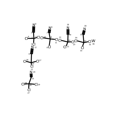 N#CC(Cl)(Cl)Cl.N#CC(Cl)(Cl)Cl.N#CC(Cl)(Cl)Cl.N#CC(Cl)(Cl)Cl.N#CC(Cl)(Cl)Cl.N#CC(Cl)(Cl)Cl.[W]